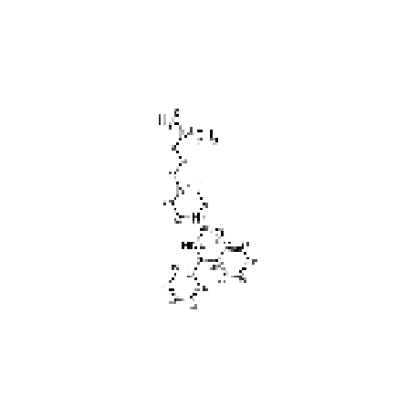 CN(C)CCCN1CCN(C(=O)NC(c2ccccc2)c2ccccc2)CC1